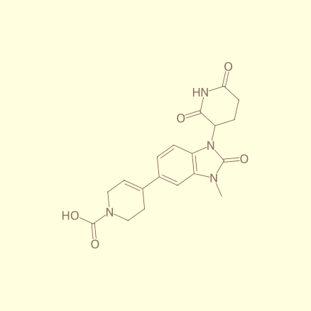 Cn1c(=O)n(C2CCC(=O)NC2=O)c2ccc(C3=CCN(C(=O)O)CC3)cc21